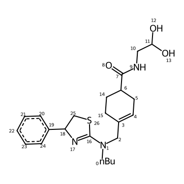 CCCCN(CC1=CCC(C(=O)NCC(O)O)CC1)C1=NC(c2ccccc2)CS1